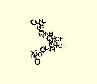 Cc1nc(-c2ccccc2)c(Oc2ccnc(Nc3ccnc(C(C)(O)CCC(C)(O)c4cc(Nc5cc(Oc6sc(C)nc6-c6ccccc6)ccn5)ccn4)c3)c2)s1